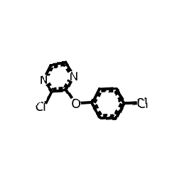 Clc1ccc(Oc2nccnc2Cl)cc1